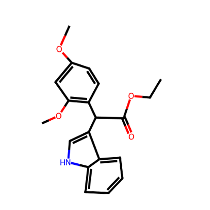 CCOC(=O)C(c1ccc(OC)cc1OC)c1c[nH]c2ccccc12